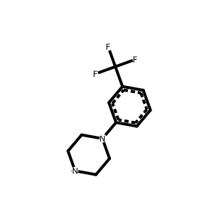 FC(F)(F)c1cccc(N2CC[N]CC2)c1